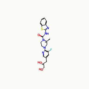 C[C@H]1CN(c2ncc(C[C@@H](O)CO)cc2F)CCN1C(=O)Nc1nc2ccccc2s1